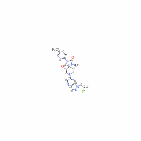 CCN1C(=O)N(c2ccc(C(F)(F)F)nc2)C(=O)C12CCN(c1cnc3cnn(CC(F)F)c3n1)CC2